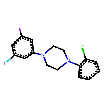 Fc1[c]c(I)cc(N2CCN(c3ccccc3Cl)CC2)c1